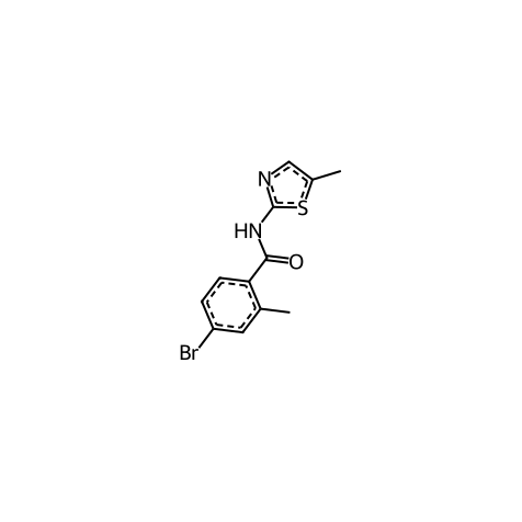 Cc1cnc(NC(=O)c2ccc(Br)cc2C)s1